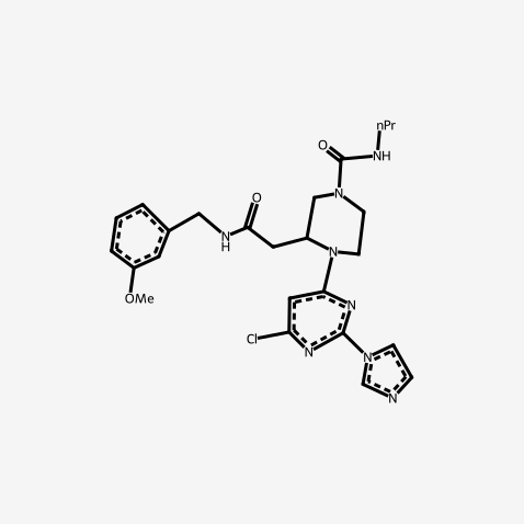 CCCNC(=O)N1CCN(c2cc(Cl)nc(-n3ccnc3)n2)C(CC(=O)NCc2cccc(OC)c2)C1